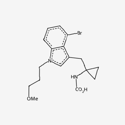 COCCCn1cc(CC2(NC(=O)O)CC2)c2c(Br)cccc21